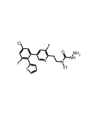 CCN(CCc1ncc(-c2cc(Cl)cc(F)c2-c2cccs2)cc1F)C(=O)NN